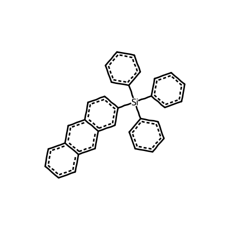 c1ccc([Si](c2ccccc2)(c2ccccc2)c2ccc3cc4ccccc4cc3c2)cc1